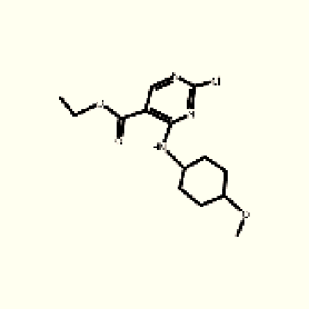 CCOC(=O)c1cnc(Cl)nc1NC1CCC(OC)CC1